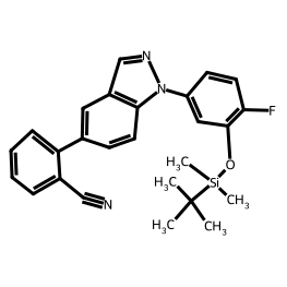 CC(C)(C)[Si](C)(C)Oc1cc(-n2ncc3cc(-c4ccccc4C#N)ccc32)ccc1F